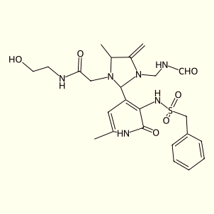 C=C1C(C)N(CC(=O)NCCO)C(c2cc(C)[nH]c(=O)c2NS(=O)(=O)Cc2ccccc2)N1CNC=O